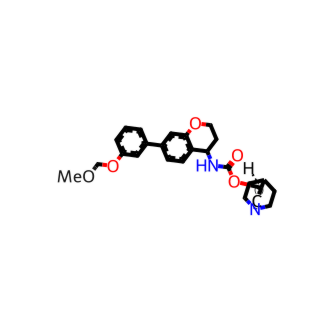 COCOc1cccc(-c2ccc3c(c2)OCCC3NC(=O)O[C@@H]2CN3CCC2CC3)c1